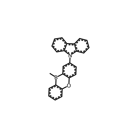 CB1c2ccccc2Oc2ccc(-n3c4ccccc4c4ccccc43)cc21